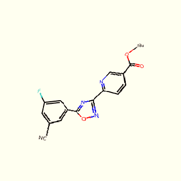 CC(C)(C)OC(=O)c1ccc(-c2noc(-c3cc(F)cc(C#N)c3)n2)nc1